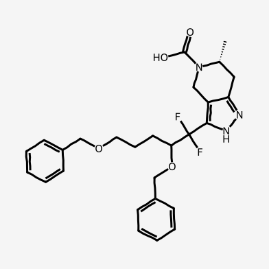 C[C@@H]1Cc2n[nH]c(C(F)(F)C(CCCOCc3ccccc3)OCc3ccccc3)c2CN1C(=O)O